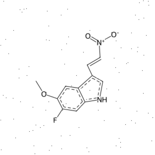 COc1cc2c(C=C[N+](=O)[O-])c[nH]c2cc1F